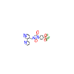 O=C1CN(Cc2ccncc2-c2ccccn2)C(=O)N1c1ccc(S(=O)(=O)C(F)(F)F)cc1